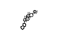 C[C@]12CC[C@H](n3ccnn3)C[C@@H]1CC[C@@H]1[C@@H]2CC[C@]2(C)C(c3ccc4ccccc4c3)=CC[C@@H]12